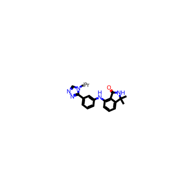 CC(C)n1cnnc1-c1cccc(Nc2cccc3c2C(=O)NC3(C)C)c1